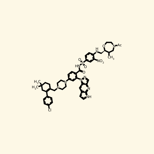 CC(=O)N1CCO[C@H](CNc2ccc(S(=O)(=O)NC(=O)c3ccc(N4CCN(CC5=C(c6ccc(Cl)cc6)CC(C)(C)CC5)CC4)cc3-n3ncc4nc5[nH]ccc5cc43)cc2[N+](=O)[O-])C(C)C1